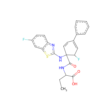 CCC(NC(=O)C1(Nc2nc3ccc(F)cc3s2)C=CC(c2ccccc2)=CC1F)C(=O)O